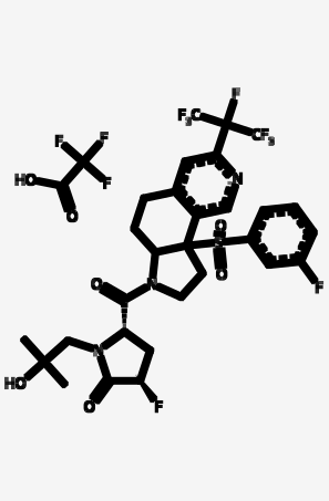 CC(C)(O)CN1C(=O)[C@H](F)C[C@H]1C(=O)N1CCC2(S(=O)(=O)c3cccc(F)c3)c3cnc(C(F)(C(F)(F)F)C(F)(F)F)cc3CCC12.O=C(O)C(F)(F)F